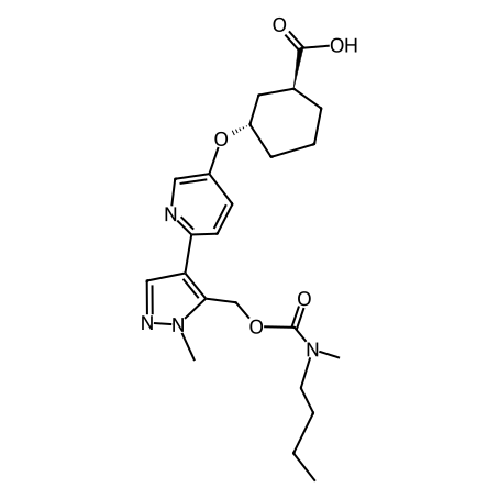 CCCCN(C)C(=O)OCc1c(-c2ccc(O[C@H]3CCC[C@H](C(=O)O)C3)cn2)cnn1C